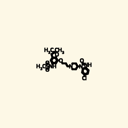 CC1(C)Cc2cc(NS(C)(=O)=O)cc(OCCCN3CCC(n4c(=O)[nH]c5ccc(Cl)cc54)CC3)c2O1